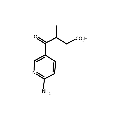 CC(CC(=O)O)C(=O)c1ccc(N)nc1